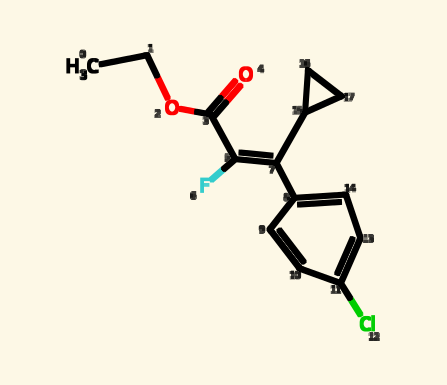 CCOC(=O)C(F)=C(c1ccc(Cl)cc1)C1CC1